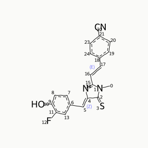 CN1C(=S)/C(=C/c2ccc(O)c(F)c2)N=C1/C=C/c1ccc(C#N)cc1